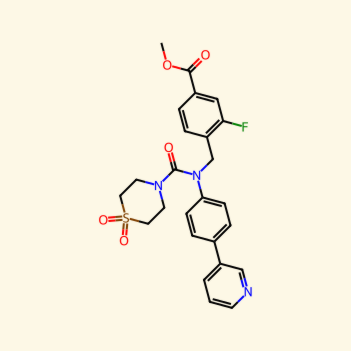 COC(=O)c1ccc(CN(C(=O)N2CCS(=O)(=O)CC2)c2ccc(-c3cccnc3)cc2)c(F)c1